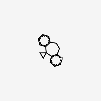 c1ccc2c(c1)CCc1ncccc1C21CC1